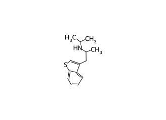 CC(C)NC(C)Cc1csc2ccccc12